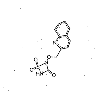 O=C1NS(=O)(=O)N1OCc1ccc2ccccc2n1